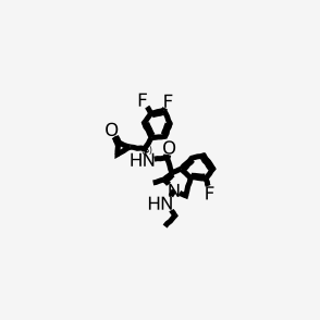 CCNN1Cc2c(F)cccc2C(C(=O)N[C@H](c2ccc(F)c(F)c2)C2CC2=O)=C1C